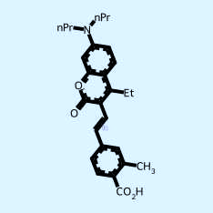 CCCN(CCC)c1ccc2c(CC)c(/C=C/c3ccc(C(=O)O)c(C)c3)c(=O)oc2c1